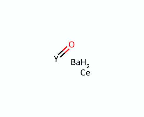 [BaH2].[Ce].[O]=[Y]